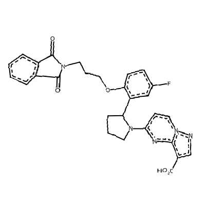 O=C(O)c1cnn2ccc(N3CCCC3c3cc(F)ccc3OCCCN3C(=O)c4ccccc4C3=O)nc12